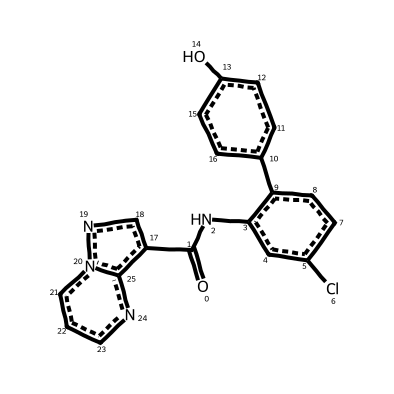 O=C(Nc1cc(Cl)ccc1-c1ccc(O)cc1)c1cnn2cccnc12